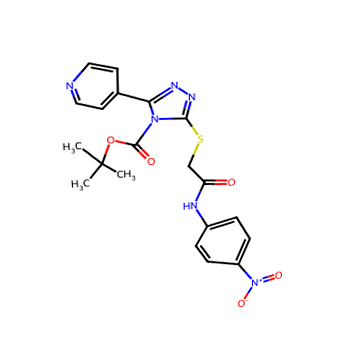 CC(C)(C)OC(=O)n1c(SCC(=O)Nc2ccc([N+](=O)[O-])cc2)nnc1-c1ccncc1